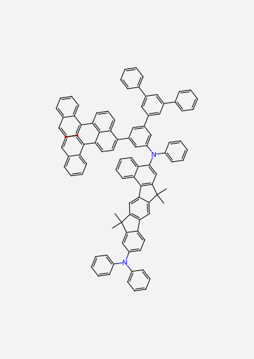 CC1(C)c2cc(N(c3ccccc3)c3ccccc3)ccc2-c2cc3c(cc21)-c1c(cc(N(c2ccccc2)c2cc(-c4cc(-c5ccccc5)cc(-c5ccccc5)c4)cc(-c4ccc(-c5cccc6ccccc56)c5c(-c6cccc7ccccc67)cccc45)c2)c2ccccc12)C3(C)C